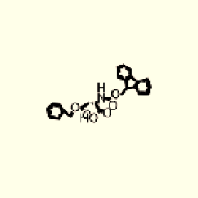 O=C(C[C@H](NC(=O)OCC1c2ccccc2-c2ccccc21)C(=O)O)OCc1ccccc1